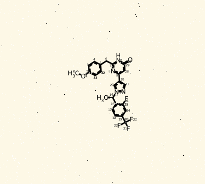 COc1ccc(Cc2nc(-c3cnn([C@H](C)c4ccc(C(F)(F)F)cc4F)c3)cc(=O)[nH]2)cc1